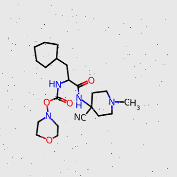 CN1CCC(C#N)(NC(=O)C(CC2CCCCC2)NC(=O)ON2CCOCC2)CC1